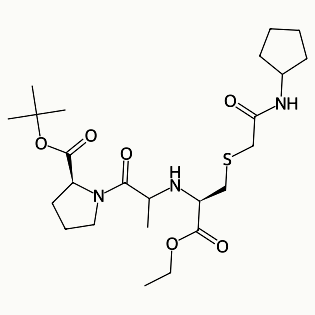 CCOC(=O)[C@H](CSCC(=O)NC1CCCC1)NC(C)C(=O)N1CCC[C@H]1C(=O)OC(C)(C)C